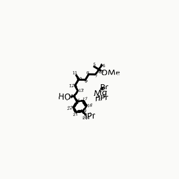 CC[CH2][Mg][Br].COC(C)(C)CCCC(C)CCC(O)c1ccc(C(C)C)cc1